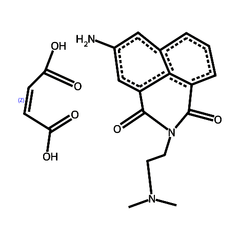 CN(C)CCN1C(=O)c2cccc3cc(N)cc(c23)C1=O.O=C(O)/C=C\C(=O)O